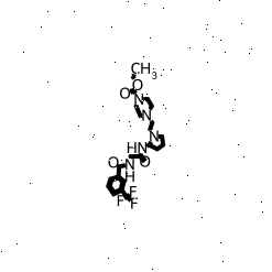 CCOC(=O)N1CCN(CCN2CCCC2NC(=O)CNC(=O)c2cccc(C(F)(F)F)c2)CC1